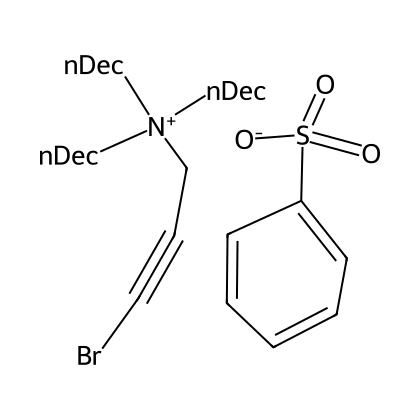 CCCCCCCCCC[N+](CC#CBr)(CCCCCCCCCC)CCCCCCCCCC.O=S(=O)([O-])c1ccccc1